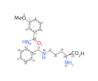 COc1cccc(C(=O)Nc2ccccc2CNCCC[C@H](N)C(=O)O)c1